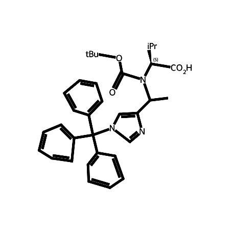 CC(C)[C@@H](C(=O)O)N(C(=O)OC(C)(C)C)C(C)c1cn(C(c2ccccc2)(c2ccccc2)c2ccccc2)cn1